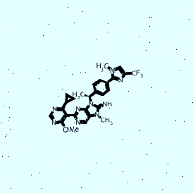 COc1ncnc(C2CC2)c1-c1ncc2c(n1)n([C@@H](C)c1ccc(-c3nc(C(F)(F)F)cn3C)cc1)c(=N)n2C